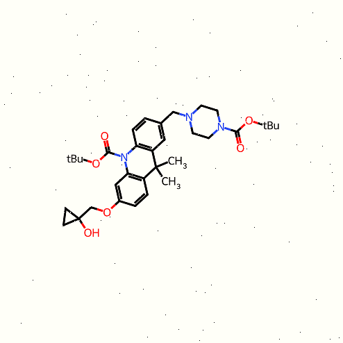 CC(C)(C)OC(=O)N1CCN(Cc2ccc3c(c2)C(C)(C)c2ccc(OCC4(O)CC4)cc2N3C(=O)OC(C)(C)C)CC1